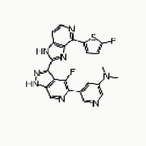 CN(C)c1cncc(-c2ncc3[nH]nc(-c4nc5c(-c6ccc(F)s6)nccc5[nH]4)c3c2F)c1